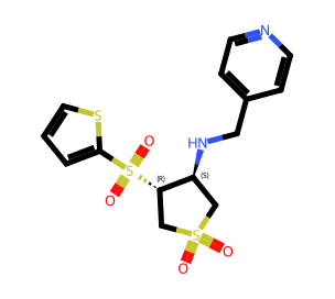 O=S1(=O)C[C@H](NCc2ccncc2)[C@@H](S(=O)(=O)c2cccs2)C1